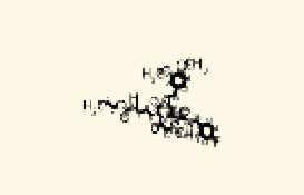 C=CCOC(=O)NCCC[C@H]1C(=O)N(CCc2ccc(OC)c(OC)c2)C[C@H]2N1C(=O)CN(C)N2C(=O)NCc1ccc(F)cc1